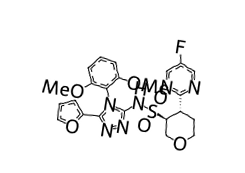 COc1cccc(OC)c1-n1c(NS(=O)(=O)[C@@H]2COCC[C@H]2c2ncc(F)cn2)nnc1-c1ccco1